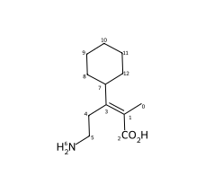 CC(C(=O)O)=C(CCN)C1CCCCC1